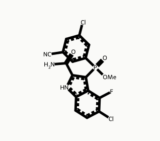 COP(=O)(c1cc(Cl)cc(C#N)c1)c1c(C(N)=O)[nH]c2ccc(Cl)c(F)c12